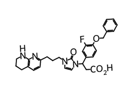 O=C(O)CC(c1ccc(OCc2ccccc2)c(F)c1)n1ccn(CCCc2ccc3c(n2)NCCC3)c1=O